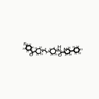 O=C(N[C@H]1CC[C@H](CCN2CCC(C(=O)c3ccc(F)cc3)CC2)CC1)c1ccc(-c2ccccc2)cn1